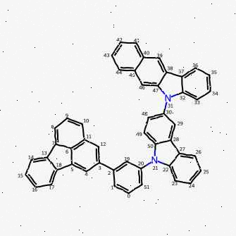 c1cc(-c2cc3c4c(cccc4c2)-c2ccccc2-3)cc(-n2c3ccccc3c3cc(-n4c5ccccc5c5cc6ccccc6cc54)ccc32)c1